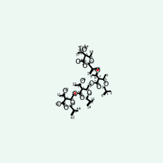 C=C(C)COC(C)C(C(C)=O)C(=O)[O-].C=C(C)COC(C)C(C(C)=O)C(=O)[O-].C=C(C)COC(C)C(C(C)=O)C(=O)[O-].C=C(C)COC(C)C(C(C)=O)C(=O)[O-].[Ti+4]